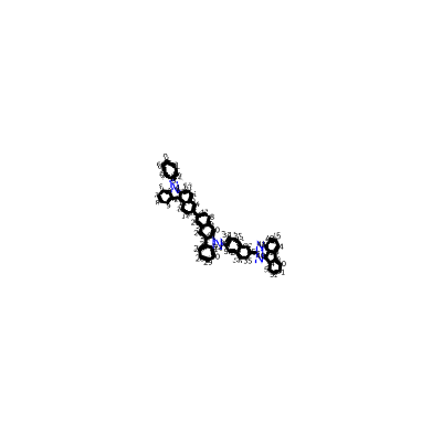 c1ccc(-n2c3ccccc3c3c4ccc(-c5ccc6cc7c(cc6c5)c5ccccc5n7-c5ccc6cc(-c7nc8c9c(cccc9n7)-c7ccccc7-8)ccc6c5)cc4ccc32)cc1